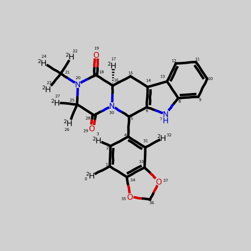 [2H]c1c([2H])c(C2c3[nH]c4ccccc4c3C[C@]3([2H])C(=O)N(C([2H])([2H])[2H])C([2H])([2H])C(=O)N23)c([2H])c2c1OCO2